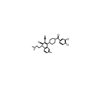 Cc1ccc2c(c1)c(N1CCN(C(=O)c3ccc(Cl)c(Cl)c3)CC1)c(C#N)c(=O)n2CCN(C)C